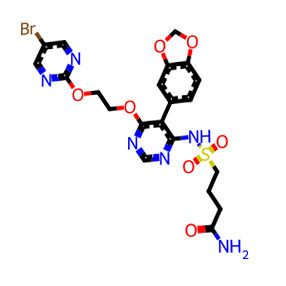 NC(=O)CCCS(=O)(=O)Nc1ncnc(OCCOc2ncc(Br)cn2)c1-c1ccc2c(c1)OCO2